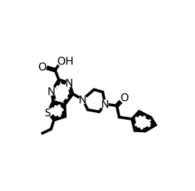 CCc1cc2c(N3CCN(C(=O)Cc4ccccc4)CC3)nc(C(=O)O)nc2s1